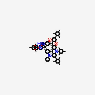 Cc1cc(C)c(-c2cc3c4c(c2)Oc2cc5c(cc2B4c2cc4c(cc2O3)Nc2cc(-c3c(C)cc(C)cc3C)cc3c2B4c2ccccc2N3c2ccccc2)B2c3ccccc3N(c3ccccc3)c3cc(-c4c(C)cc(C)cc4C)cc(c32)N5c2c(C)cc(C)cc2C)c(C)c1